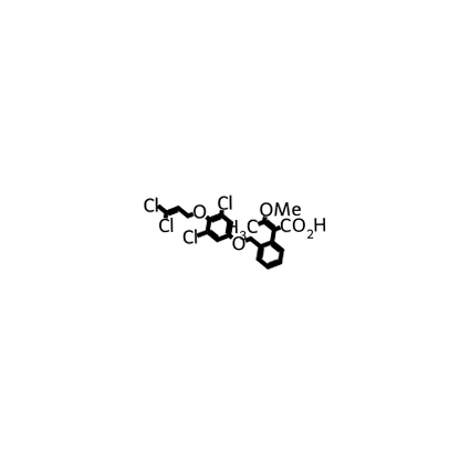 COC(C)=C(C(=O)O)c1ccccc1COc1cc(Cl)c(OCC=C(Cl)Cl)c(Cl)c1